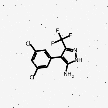 Nc1[nH]nc(C(F)(F)F)c1-c1cc(Cl)cc(Cl)c1